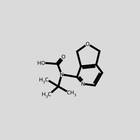 CC(C)(C)N(C(=O)O)c1nccc2c1COC2